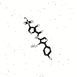 CC(C)S(=O)(=O)c1csc(C(=O)Nc2csc(-c3ccc(Cl)cc3)c2C(=O)O)c1Cl